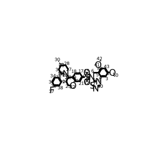 COc1ccc(CN(c2ncns2)S(=O)(=O)c2ccc3c(c2)OCC[C@@H]3N2CC[C@@H](C)C[C@H]2c2ccc(F)cc2)c(OC)c1